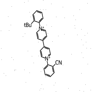 CC(C)(C)c1ccccc1-[n+]1ccc(-c2cc[n+](-c3ccccc3C#N)cc2)cc1